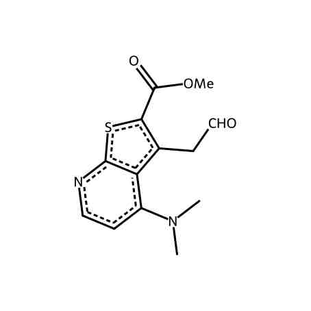 COC(=O)c1sc2nccc(N(C)C)c2c1CC=O